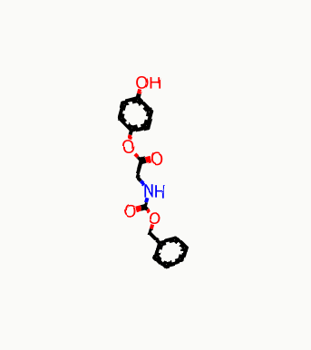 O=C(CNC(=O)OCc1ccccc1)Oc1ccc(O)cc1